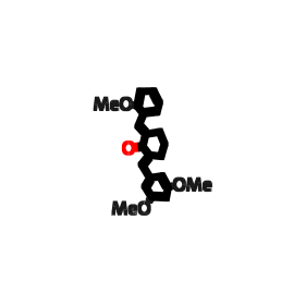 COc1cc(C=C2CCCC(=Cc3ccccc3OC)C2=O)cc(OC)c1